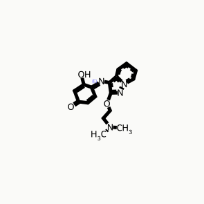 CN(C)CCOc1nn2ccccc2c1/N=C1\C=CC(=O)C=C1O